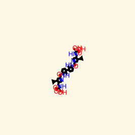 Cc1c(NC(=O)c2cc(C3CC3)c(CN[C@@H](CO)C(=O)O)cn2)cccc1-c1cccc(NC(=O)c2cc(C3CC3)c(CN[C@H](CO)C(=O)O)cn2)c1C